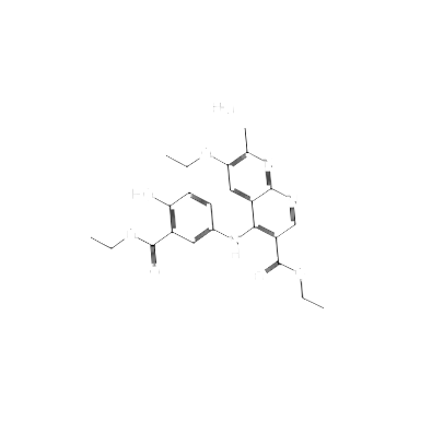 CCOC(=O)c1cc(Nc2c(C(=O)OCC)cnc3nc(C)c(OCC)cc23)ccc1O.Cl